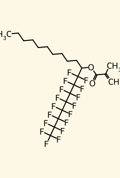 C=C(C)C(=O)OC(CCCCCCCCCC)C(F)(F)C(F)(F)C(F)(F)C(F)(F)C(F)(F)C(F)(F)C(F)(F)C(F)(F)F